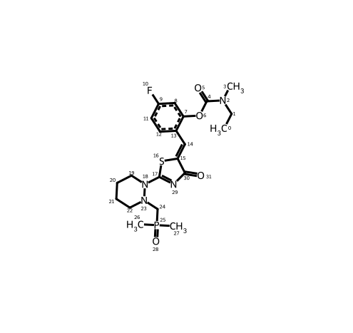 CCN(C)C(=O)Oc1cc(F)ccc1/C=C1\SC(N2CCCCN2CP(C)(C)=O)=NC1=O